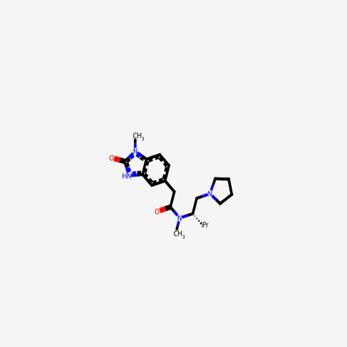 CC(C)[C@@H](CN1CCCC1)N(C)C(=O)Cc1ccc2c(c1)[nH]c(=O)n2C